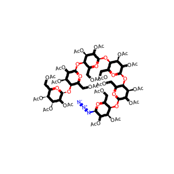 CC(=O)OCC1O[C@H](O[C@@H]2C(COC(C)=O)O[C@H](O[C@@H]3C(COC(C)=O)O[C@H](O[C@@H]4C(COC(C)=O)O[C@H](O[C@@H]5C(COC(C)=O)O[C@H](O[C@@H]6C(COC(C)=O)O[C@H](N=[N+]=[N-])C(OC(C)=O)[C@@H]6OC(C)=O)C(OC(C)=O)[C@@H]5OC(C)=O)C(OC(C)=O)[C@@H]4OC(C)=O)C(OC(C)=O)[C@@H]3OC(C)=O)C(OC(C)=O)[C@@H]2OC(C)=O)C(OC(C)=O)[C@H](OC(C)=O)[C@@H]1OC(C)=O